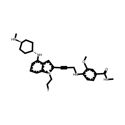 CNC(=O)c1ccc(NCC#Cc2cc3c(N[C@H]4CC[C@H](NC)CC4)cccc3n2CCF)c(OC)c1